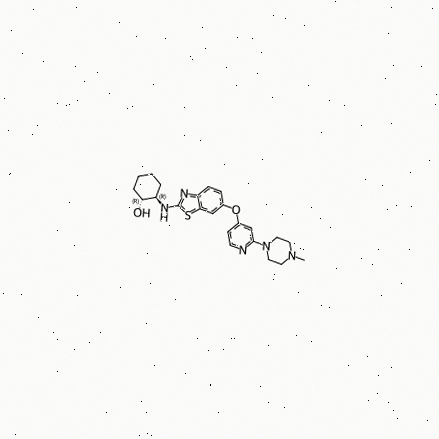 CN1CCN(c2cc(Oc3ccc4nc(N[C@@H]5CCCC[C@H]5O)sc4c3)ccn2)CC1